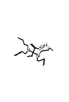 C=C([SiH3])C(CC)(N(CCC)CCCC)N(CCC)CCCC